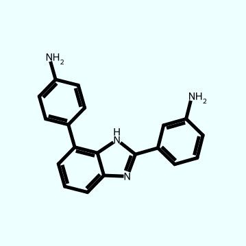 Nc1ccc(-c2cccc3nc(-c4cccc(N)c4)[nH]c23)cc1